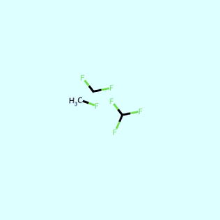 CF.FC(F)F.FCF